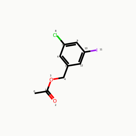 CC(=O)OCc1cc(Cl)cc(I)c1